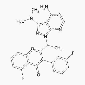 CC(c1oc2cccc(F)c2c(=O)c1-c1cccc(F)c1)n1nc(N(C)C)c2c(N)ncnc21